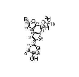 [2H]C([2H])([2H])Oc1cc2sc(C(=O)CC(C)C(=O)O)cc2c2cc(F)oc12